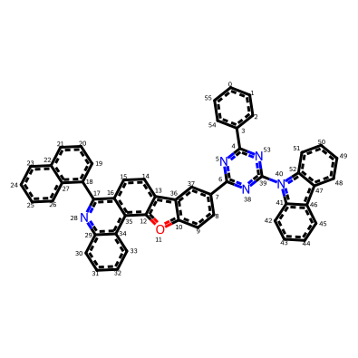 c1ccc(-c2nc(-c3ccc4oc5c(ccc6c(-c7cccc8ccccc78)nc7ccccc7c65)c4c3)nc(-n3c4ccccc4c4ccccc43)n2)cc1